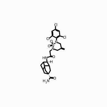 C=C1CN(CC(=O)N[C@H]2C3CC4CC2C[C@](C(N)=O)(C4)C3)S(=O)(=O)N(c2c(Cl)cc(Cl)cc2Cl)C1